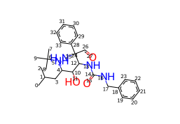 CC(C)CC(NC(C)(C)C)C(O)C(NC(=O)NCc1ccccc1)C(N)(C=O)c1ccccc1